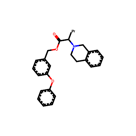 CC(C)C(C(=O)OCc1cccc(Oc2ccccc2)c1)N1CCc2ccccc2C1